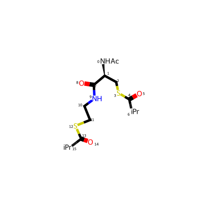 CC(=O)N[C@@H](CSC(=O)C(C)C)C(=O)NCCSC(=O)C(C)C